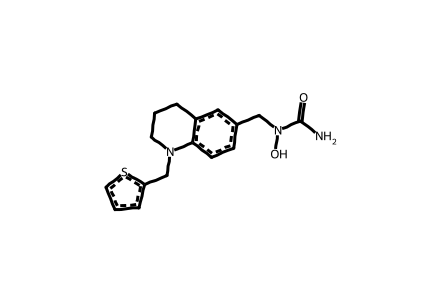 NC(=O)N(O)Cc1ccc2c(c1)CCCN2Cc1cccs1